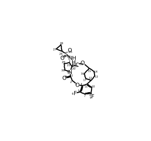 O=C1COc2c(F)cc(F)cc2C2CCC(CC2)OC[C@H]2[C@@H](NS(=O)(=O)C3CC3)CCN12